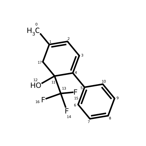 CC1=CC=C(c2ccccc2)C(O)(C(F)(F)F)C1